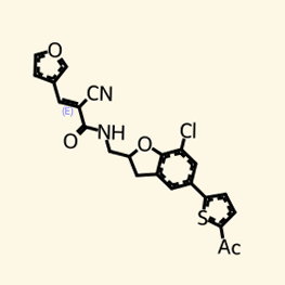 CC(=O)c1ccc(-c2cc(Cl)c3c(c2)CC(CNC(=O)/C(C#N)=C/c2ccoc2)O3)s1